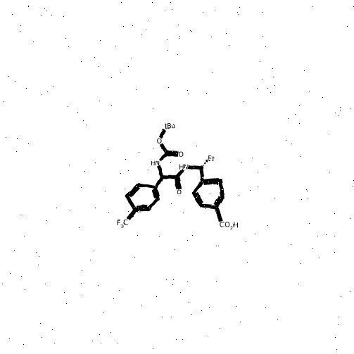 CC[C@@H](NC(=O)C(NC(=O)OC(C)(C)C)c1ccc(C(F)(F)F)cc1)c1ccc(C(=O)O)cc1